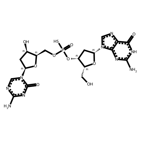 Nc1ncn([C@H]2C[C@@H](O)[C@@H](COP(=O)(S)O[C@@H]3C[C@H](n4cnc5c(=O)[nH]c(N)nc54)O[C@@H]3CO)O2)c(=O)n1